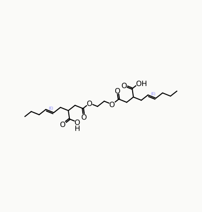 CCC/C=C/CC(CC(=O)OCCOC(=O)CC(C/C=C/CCC)C(=O)O)C(=O)O